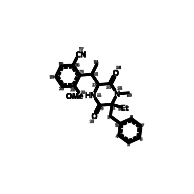 CCC1(Cc2ccccc2)C(=O)NC(C(C)c2c(C#N)cccc2OC)C(=O)N1C